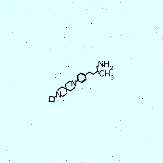 CC(CN)CCc1ccc(N2CCC3(CC2)CCN(C2CCC2)CC3)cc1